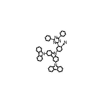 N#Cc1ccc(-n2c3ccc(-n4c5ccccc5c5ccccc54)cc3c3cc(-n4c5ccccc5c5ccccc54)ccc32)cc1-c1nc(-c2ccccc2)nc(-c2ccccc2)n1